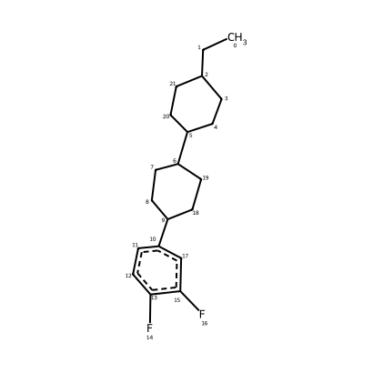 CCC1CCC(C2CCC(c3ccc(F)c(F)c3)CC2)CC1